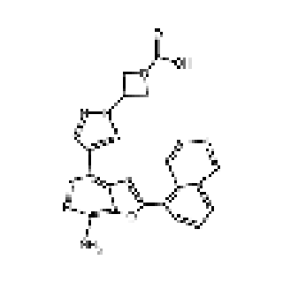 Nc1ncc(-c2cnn(C3CN(C(=O)O)C3)c2)c2cc(-c3cccc4cnccc34)oc12